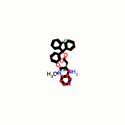 CN(C(=O)[C@@H](CC(=O)OC(c1ccccc1)(c1ccccc1)c1ccccc1Cl)Cc1cccnc1)[C@H]1CCCC[C@@H]1N